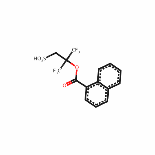 O=C(OC(CS(=O)(=O)O)(C(F)(F)F)C(F)(F)F)c1cccc2ccccc12